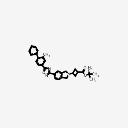 Cc1cc(-c2nc(-c3ccc4c(c3)CN(C3CC(C(=O)OC(C)(C)C)C3)C4)no2)ccc1-c1ccccc1